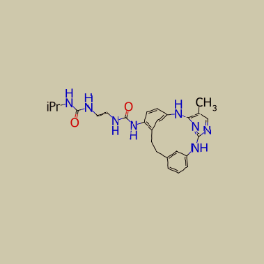 Cc1cnc2nc1Nc1ccc(NC(=O)NCCNC(=O)NC(C)C)c(c1)CCc1cccc(c1)N2